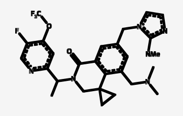 CNc1nccn1Cc1cc(CN(C)C)c2c(c1)C(=O)N(C(C)c1cc(OC(F)(F)F)c(F)cn1)CC21CC1